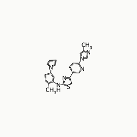 Cc1cn(-c2ccc(-c3csc(Nc4cc(-n5cccc5)ccc4C)n3)cn2)cn1